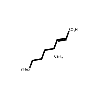 CCCCCCCCCCC=CS(=O)(=O)O.[CaH2]